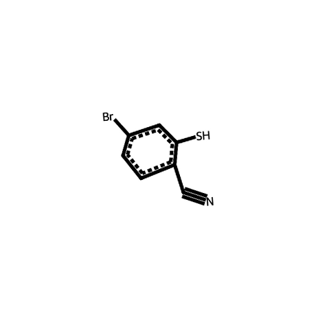 N#Cc1ccc(Br)cc1S